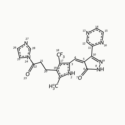 Cc1[nH]c(C=C2C(=O)NN=C2c2cnccn2)c(C(F)(F)F)c1CCC(=O)n1ccnc1